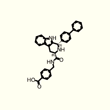 O=C(O)c1ccc(CNC(=O)[C@H]2Cc3c([nH]c4ccccc34)[C@H](c3ccc(-c4ccccc4)cc3)N2)cc1